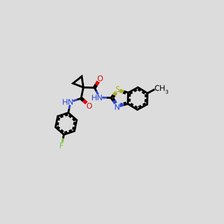 Cc1ccc2nc(NC(=O)C3(C(=O)Nc4ccc(F)cc4)CC3)sc2c1